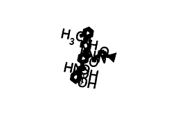 Cc1ccccc1N1CCN(c2ccc(C(=O)N[C@@H]3CCC[C@@H](O)[C@H]3O)cc2NC(=O)c2coc(C3CC3)n2)CC1